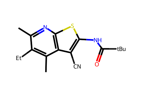 CCc1c(C)nc2sc(NC(=O)C(C)(C)C)c(C#N)c2c1C